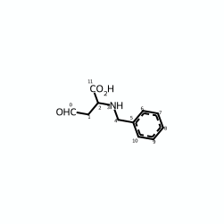 O=CCC(NCc1ccccc1)C(=O)O